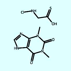 Cn1c(=O)c2[nH]cnc2n(C)c1=O.OC(=S)CNCl